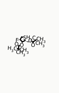 CC(C)(C)C(=O)OC[C@H]1SC[C@@H](F)[C@@H]1OC(=O)C(C)(C)C